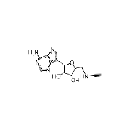 C#CNCC1OC(n2cnc3c(N)ncnc32)C(O)C1O